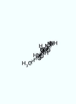 CCCCCCCC(=O)NC(=O)CNC(=O)CNC(=O)[C@@H](N)Cc1c[nH]cn1